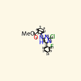 COC(=O)C1C2CCC(CC2)C1Nc1cc(-c2ccccc2F)nc(Cl)n1